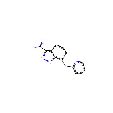 N=C(N)c1n[nH]c2c(Cc3ccccn3)cccc12